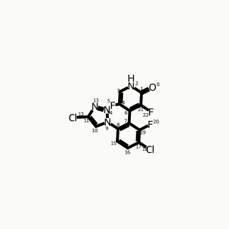 O=c1[nH]cc(F)c(-c2c(-n3cc(Cl)nn3)ccc(Cl)c2F)c1F